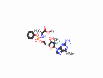 CNc1nc(N)nc2c1ncn2[C@@H]1O[C@H](CCO[P@@](=O)(N[C@H](C)C(=O)OC(C)C)Oc2ccccc2)[C@@H](O)[C@@]1(C)F